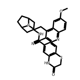 COc1ccc2ncc(C#N)c(CCN3C4CCC3CC(NCc3ccc5c(c3)NC(=O)CS5)C4)c2c1